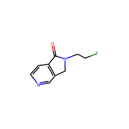 O=C1c2ccncc2CN1CCF